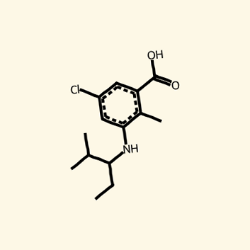 CCC(Nc1cc(Cl)cc(C(=O)O)c1C)C(C)C